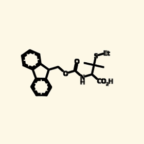 CCSC(C)(C)C(NC(=O)OCC1c2ccccc2-c2ccccc21)C(=O)O